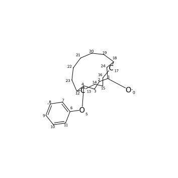 [O]C1CCC(Oc2c[c]ccc2)C2CCCCCC(CCCCC2)C1